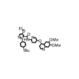 CCOc1cnn(-c2ccc(C(C)(C)C)cc2)c1C(=O)Nc1ccc(Oc2ccnc3cc(OC)c(OC)cc23)cn1